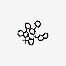 CC1(C)c2cccc(N(c3cccc(-c4ccccc4)c3)c3ccc4ccccc4c3)c2-c2cc(-c3ccccc3)c3ccccc3c21